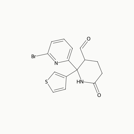 O=CC1CCC(=O)NC1(c1ccsc1)c1cccc(Br)n1